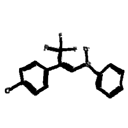 [O-][S+](/C=C(/c1ccc(Cl)cc1)C(F)(F)F)c1ccccc1